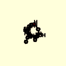 O=C(O)[C@@H]1Cc2ccc(cc2)NC(=O)[C@@H]2CCCC[C@H]2C(=O)N[C@H](CC2CC=CS2)C(=O)N[C@@H](Cc2ccc(-c3ccccc3)cc2)C(=O)N[C@H](Cc2ccccc2)C(=O)N1